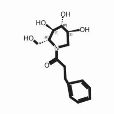 O=C(CCc1ccccc1)N1C[C@H](O)[C@@H](O)[C@H](O)[C@H]1CO